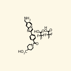 NCc1ccn2cc(-c3ccc(C(=O)N4CCC(C(=O)O)CC4)cc3)nc2c1.O=C(O)C(F)(F)F.O=C(O)C(F)(F)F